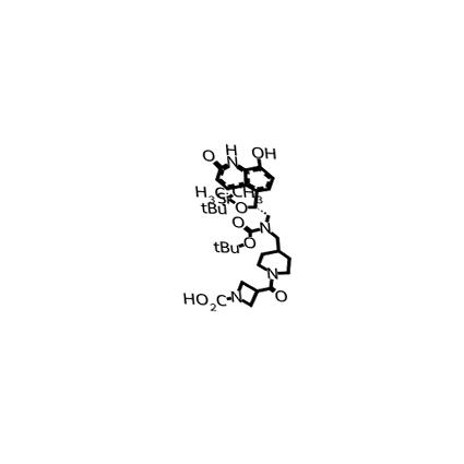 CC(C)(C)OC(=O)N(CC1CCN(C(=O)C2CN(C(=O)O)C2)CC1)C[C@H](O[Si](C)(C)C(C)(C)C)c1ccc(O)c2[nH]c(=O)ccc12